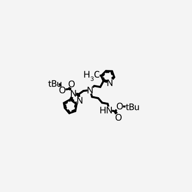 Cc1cccnc1CCN(CCCCNC(=O)OC(C)(C)C)Cc1nc2ccccc2n1C(=O)OC(C)(C)C